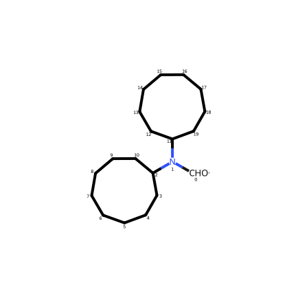 O=[C]N(C1CCCCCCCC1)C1CCCCCCCC1